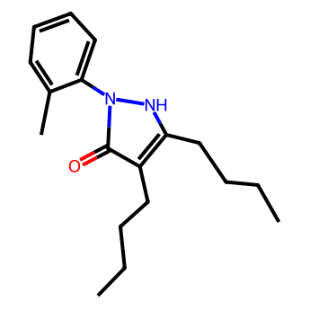 CCCCc1[nH]n(-c2ccccc2C)c(=O)c1CCCC